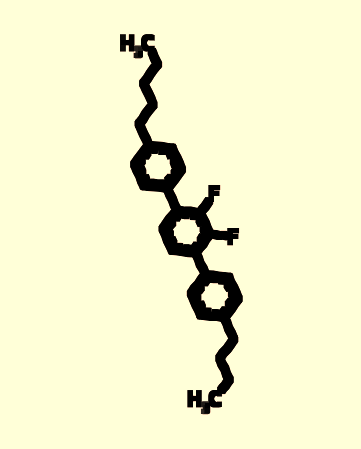 CCCCCc1ccc(-c2ccc(-c3ccc(CCCC)cc3)c(F)c2F)cc1